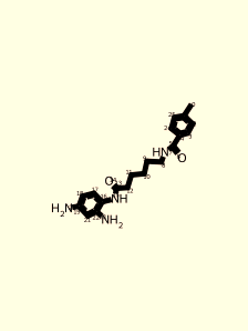 Cc1ccc(C(=O)NCCCCCC(=O)Nc2ccc(N)cc2N)cc1